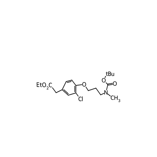 CCOC(=O)Cc1ccc(OCCCN(C)C(=O)OC(C)(C)C)c(Cl)c1